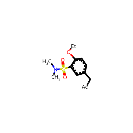 CCOc1ccc(CC(C)=O)cc1S(=O)(=O)N(C)C